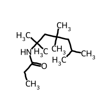 CCC(=O)NC(C)(C)CC(C)(C)CC(C)C